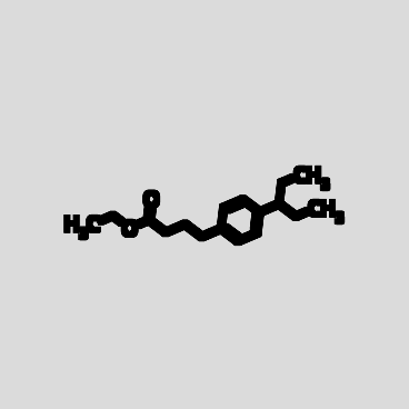 CCOC(=O)CCCc1ccc(C(CC)CC)cc1